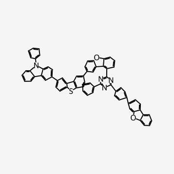 c1ccc(-c2nc(-c3ccc(-c4ccc5c(c4)oc4ccccc45)cc3)nc(-c3cccc4oc5ccc(-c6ccc7sc8ccc(-c9ccc%10c(c9)c9ccccc9n%10-c9ccccc9)cc8c7c6)cc5c34)n2)cc1